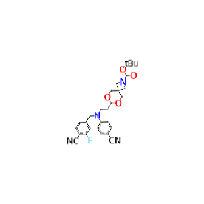 CC(C)(C)OC(=O)N1CC2(COC(CCN(Cc3ccc(C#N)c(F)c3)c3ccc(C#N)cc3)OC2)C1